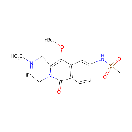 CCCCOc1c(CNC(=O)O)n(CC(C)C)c(=O)c2ccc(NS(C)(=O)=O)cc12